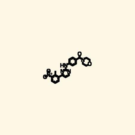 Cc1c(-c2ccnc(Nc3ccc(C(=O)N4CCOCC4)cc3)n2)cccc1[N+](=O)[O-]